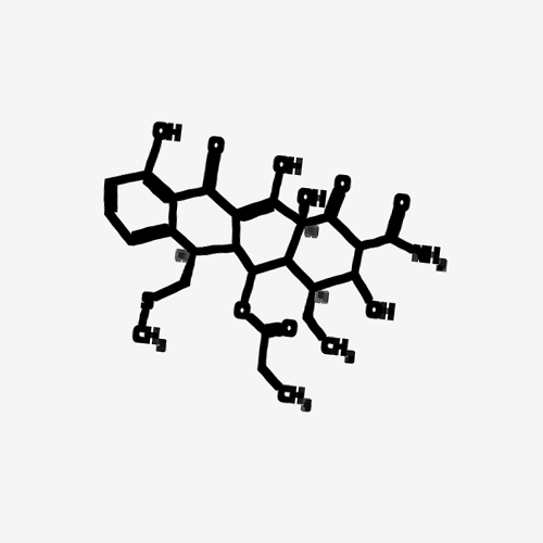 CCC(=O)OC1C2C(=C(O)[C@]3(O)C(=O)C(C(N)=O)C(O)[C@@H](CC)C13)C(=O)c1c(O)cccc1[C@@H]2CSC